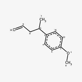 COc1ccc(C(C)[CH]C=O)cc1